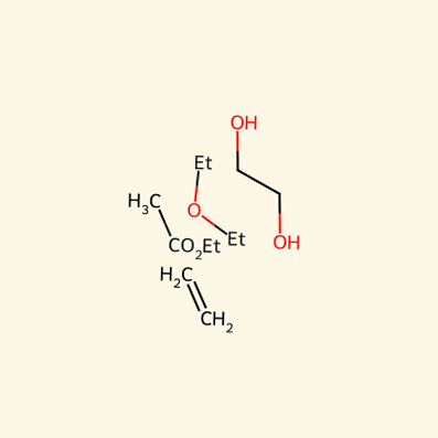 C=C.CCOC(C)=O.CCOCC.OCCO